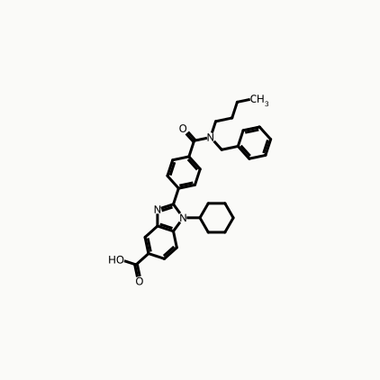 CCCCN(Cc1ccccc1)C(=O)c1ccc(-c2nc3cc(C(=O)O)ccc3n2C2CCCCC2)cc1